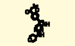 CC1(C)CC(=O)c2ccc(-c3c[nH]c4nc(NC5CCOCC5)ncc34)cc2O1